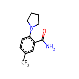 NC(=O)c1cc(C(F)(F)F)ccc1N1CCCC1